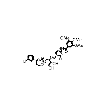 COc1cc(C(=O)Nc2ccn(CO[C@H](COP3(=O)OCC[C@@H](c4cccc(Cl)c4)O3)[C@@H](O)CO)c(=O)n2)cc(OC)c1OC